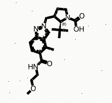 COCCNC(=O)c1ccc2nn(CC3CCN(C(=O)O)[C@H]3C(C)(C)C)cc2c1C